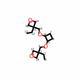 CCC1(COC2CCC2OCC2(CC)COC2)COC1